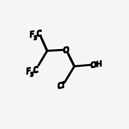 OC(Cl)OC(C(F)(F)F)C(F)(F)F